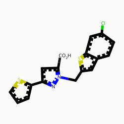 O=C(O)c1cc(-c2cccs2)nn1Cc1cc2ccc(Cl)cc2s1